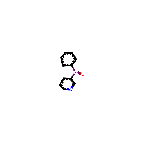 O=[PH](c1ccccc1)c1cccnc1